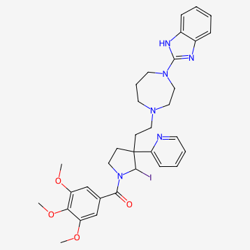 COc1cc(C(=O)N2CCC(CCN3CCCN(c4nc5ccccc5[nH]4)CC3)(c3ccccn3)C2I)cc(OC)c1OC